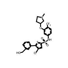 CN1CCC(Oc2cc(NS(=O)(=O)c3cc(Cl)c(-c4cccc(CO)c4)s3)ccc2C(F)(F)F)C1